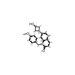 COc1ccc(Cn2c(=O)ccc3ncc(N4CC(O)C4)cc32)cc1